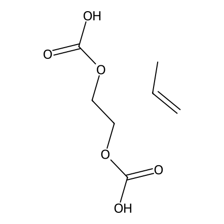 C=CC.O=C(O)OCCOC(=O)O